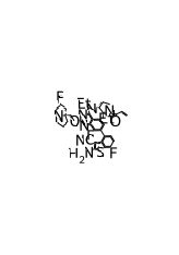 C=CC(=O)N1CC[C@@H](N(CC)c2nc(OC[C@@]34CCCN3C[C@H](F)C4)nc3c(F)c(-c4ccc(F)c5sc(N)c(C#N)c45)ccc23)[C@@H]1CC